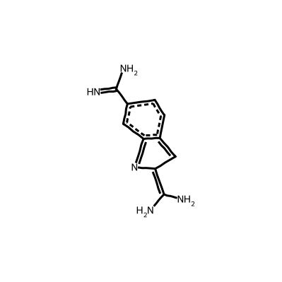 N=C(N)c1ccc2c(c1)=NC(=C(N)N)C=2